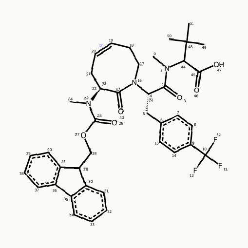 CN(C(=O)[C@H](Cc1ccc(C(F)(F)F)cc1)N1CC/C=C\C[C@H](N(C)C(=O)OCC2c3ccccc3-c3ccccc32)C1=O)C(C(=O)O)C(C)(C)C